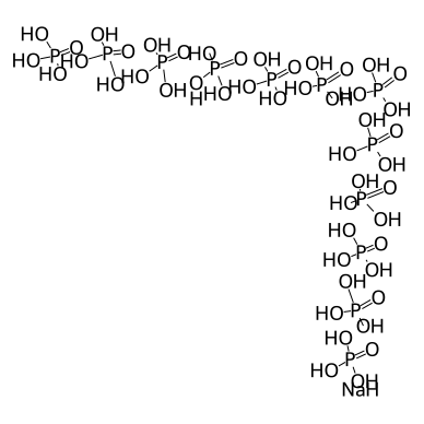 O=P(O)(O)O.O=P(O)(O)O.O=P(O)(O)O.O=P(O)(O)O.O=P(O)(O)O.O=P(O)(O)O.O=P(O)(O)O.O=P(O)(O)O.O=P(O)(O)O.O=P(O)(O)O.O=P(O)(O)O.O=P(O)(O)O.[NaH]